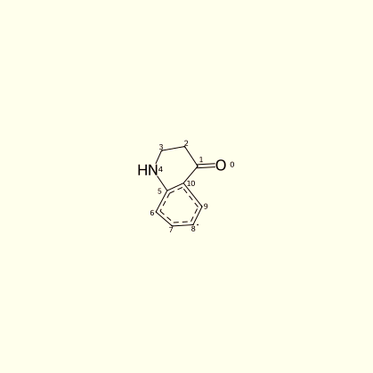 O=C1CCNc2cc[c]cc21